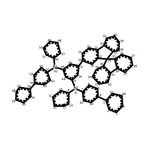 c1ccc(-c2ccc(N(c3ccccc3)c3cc(-c4ccc5c(c4)C4(c6ccccc6-c6ccccc64)c4ccccc4-5)cc(N(c4ccccc4)c4ccc(-c5ccccc5)cc4)c3)cc2)cc1